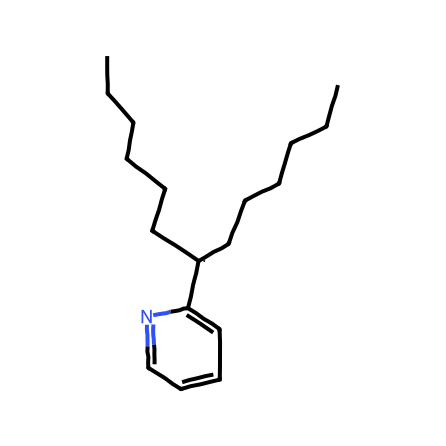 CCCCCC[C](CCCCCC)c1ccccn1